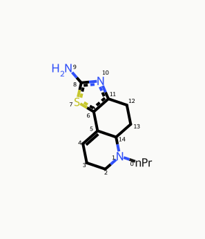 CCCN1CCC=C2c3sc(N)nc3CCC21